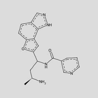 C[C@H](N)CC(NC(=O)c1cccnc1)c1cc2c(ccc3cn[nH]c32)o1